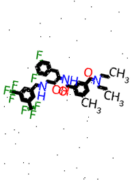 CCCN(CCC)C(=O)c1cc(C)cc(C(=O)NC(Cc2cc(F)cc(F)c2)[C@H](O)CNCc2cc(C(F)(F)F)cc(C(F)(F)F)c2)c1